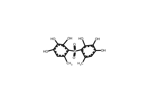 Cc1cc(O)c(O)c(O)c1S(=O)(=O)c1c(C)cc(O)c(O)c1O